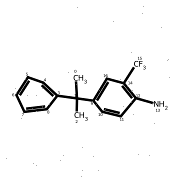 CC(C)(c1ccccc1)c1ccc(N)c(C(F)(F)F)c1